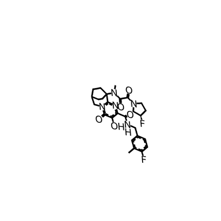 Cc1cc(CNC(=O)c2nc3n(c(=O)c2O)CC2CCC3(N(C)C(=O)C(=O)N3CC[C@@H](F)C3)CC2)ccc1F